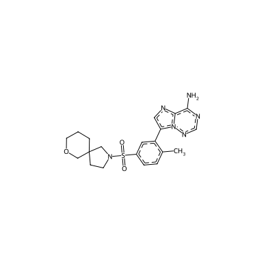 Cc1ccc(S(=O)(=O)N2CCC3(CCCOC3)C2)cc1-c1cnc2c(N)ncnn12